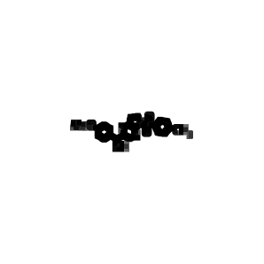 COc1ccc(C(=N)c2cnc3c(ccn3S(=O)(=O)c3ccc(C)cc3)n2)cc1